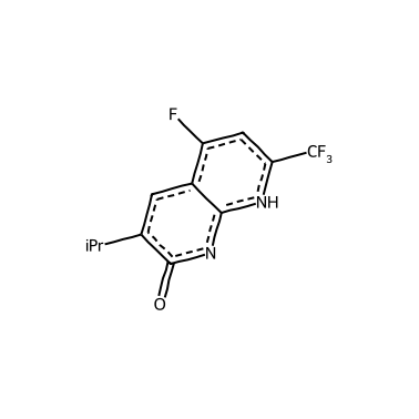 CC(C)c1cc2c(F)cc(C(F)(F)F)[nH]c-2nc1=O